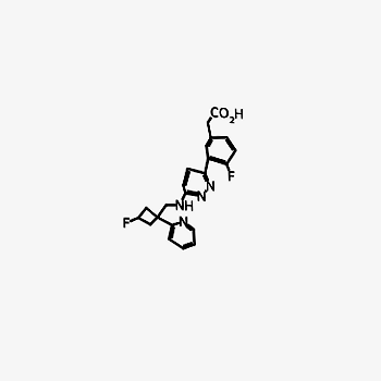 O=C(O)Cc1ccc(F)c(-c2ccc(NCC3(c4ccccn4)CC(F)C3)nn2)c1